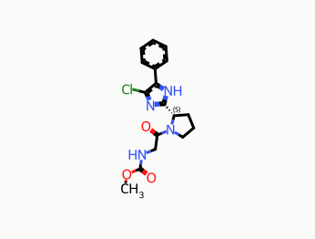 COC(=O)NCC(=O)N1CCC[C@H]1c1nc(Cl)c(-c2ccccc2)[nH]1